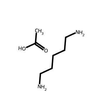 CC(=O)O.NCCCCCN